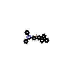 c1ccc(-c2cc(-c3ccc4c(c3)sc3cc(-c5cccc6c5C5(CCCCC5)c5ccccc5-6)ccc34)nc(-c3ccccc3)n2)cc1